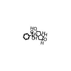 O=S(=O)(c1ccccc1)N1C(O)C[C@H]2[C@@H]3O[C@@H]3C[C@H]21